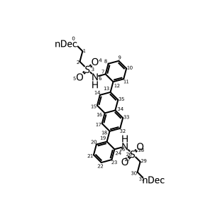 CCCCCCCCCCCCS(=O)(=O)Nc1ccccc1-c1ccc2cc(-c3ccccc3NS(=O)(=O)CCCCCCCCCCCC)ccc2c1